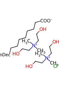 CCCCCCCCCCCCCCCCCC(=O)[O-].C[N+](C)(CCO)CCO.C[N+](C)(CCO)CCO.[Cl-]